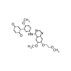 COCCOc1cc2ncnc(Nc3ccc(OC)c(C4=CC(=O)C=CC4=O)c3)c2cc1OC